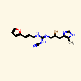 Cc1[nH]cnc1CC(S)CN=C(NC#N)NCC=Cc1ccco1